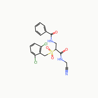 N#CCNC(=O)C(CNC(=O)c1ccccc1)S(=O)(=O)Cc1c(Cl)cccc1Cl